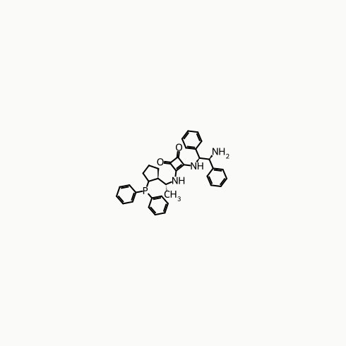 C[C@@H](Nc1c(N[C@@H](c2ccccc2)[C@@H](N)c2ccccc2)c(=O)c1=O)[C@@H]1CCCC1P(c1ccccc1)c1ccccc1